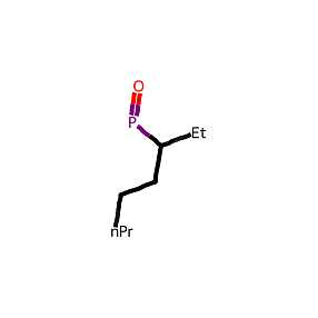 CCCCCC(CC)P=O